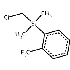 C[Si](C)(CCl)c1ccccc1C(F)(F)F